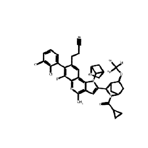 [2H]C([2H])([2H])OC1CC2CC1C(c1cc3c(C)nc4c(F)c(-c5cccc(Cl)c5Cl)c(CCC#N)cc4c3n1C1C3CNC1C3)N2C(=O)C1CC1